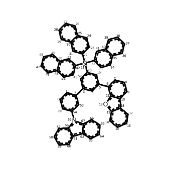 c1cc(-c2cc(-c3cccc4c3oc3ccccc34)cc([Si](c3ccc4ccccc4c3)(c3ccc4ccccc4c3)c3ccc4ccccc4c3)c2)cc(-n2c3ccccc3c3ccccc32)c1